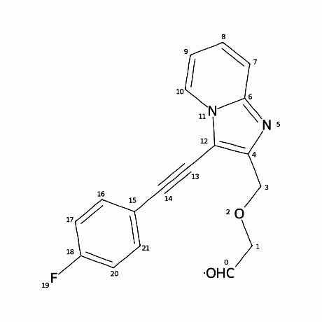 O=[C]COCc1nc2ccccn2c1C#Cc1ccc(F)cc1